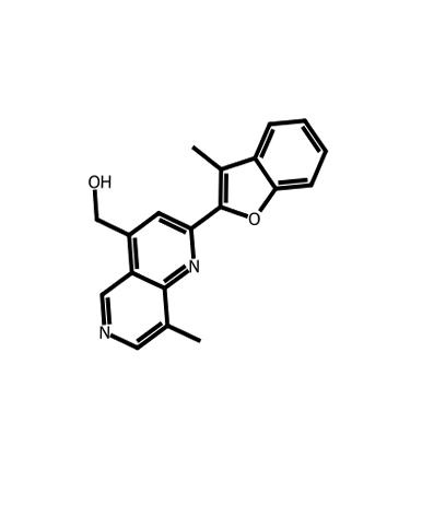 Cc1c(-c2cc(CO)c3cncc(C)c3n2)oc2ccccc12